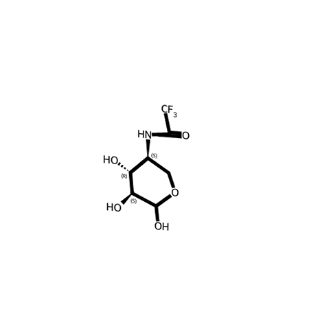 O=C(N[C@H]1COC(O)[C@@H](O)[C@@H]1O)C(F)(F)F